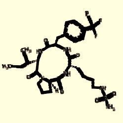 CCC(C)[C@@H]1NC(=O)[C@@H](Cc2ccc(C(F)(F)F)cc2)NC(=O)[C@H](CCCCNS(N)(=O)=O)NC(=O)[C@H]2CCCN2C1=O